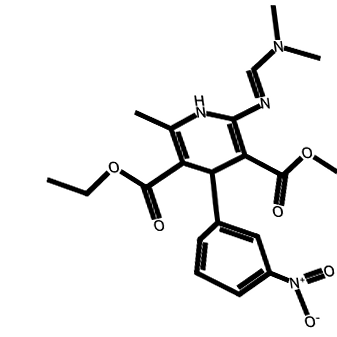 CCOC(=O)C1=C(C)NC(N=CN(C)C)=C(C(=O)OC)C1c1cccc([N+](=O)[O-])c1